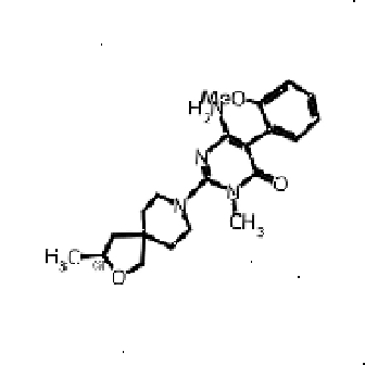 COc1ccccc1-c1c(N)nc(N2CCC3(CC2)CO[C@@H](C)C3)n(C)c1=O